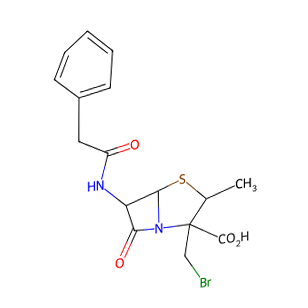 CC1SC2C(NC(=O)Cc3ccccc3)C(=O)N2C1(CBr)C(=O)O